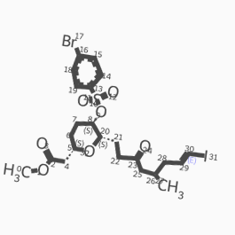 COC(=O)C[C@@H]1CC[C@H](OS(=O)(=O)c2ccc(Br)cc2)[C@H](CCC(=O)CC(C)C/C=C/I)O1